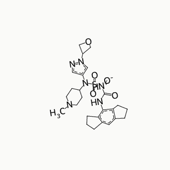 CN1CCC(N(c2cnn(C3COC3)c2)S(=O)(=O)[NH+]([O-])C(=O)Nc2c3c(cc4c2CCC4)CCC3)CC1